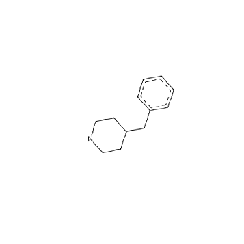 c1ccc(CC2CC[N]CC2)cc1